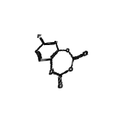 O=C1OC(=O)Oc2nc(F)ccc2O1